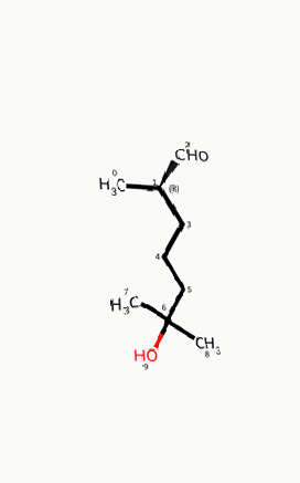 C[C@@H](C=O)CCCC(C)(C)O